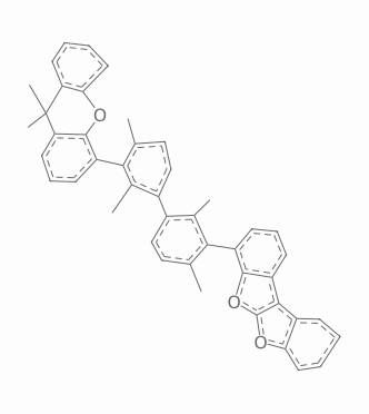 Cc1ccc(-c2ccc(C)c(-c3cccc4c3oc3oc5ccccc5c34)c2C)c(C)c1-c1cccc2c1Oc1ccccc1C2(C)C